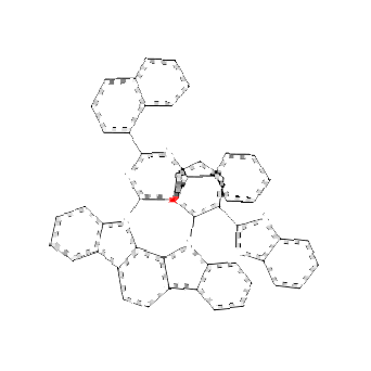 c1ccc(-c2nc(-c3cccc4ccccc34)nc(-n3c4ccccc4c4ccc5c6ccccc6n(-c6ccccc6-c6nc7ccccc7s6)c5c43)n2)cc1